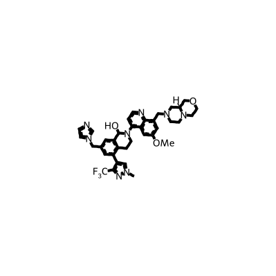 COc1cc(CN2CCN3CCOC[C@@H]3C2)c2nccc(N3CCc4c(-c5cn(C)nc5C(F)(F)F)cc(Cn5ccnc5)cc4C3O)c2c1